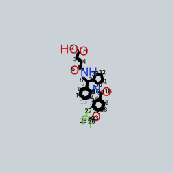 O=C(O)C=CC(=O)NCC1c2ccccc2N(C(=O)c2ccc(OC(F)(F)F)cc2)C2CCCC12